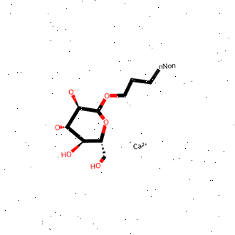 CCCCCCCCCCCCOC1O[C@H](CO)[C@@H](O)[C@H]([O-])[C@H]1[O-].[Ca+2]